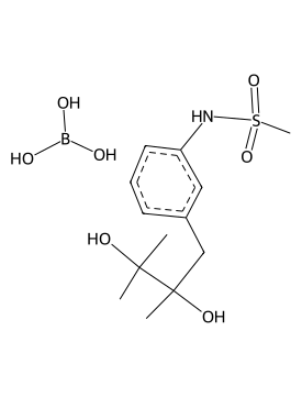 CC(C)(O)C(C)(O)Cc1cccc(NS(C)(=O)=O)c1.OB(O)O